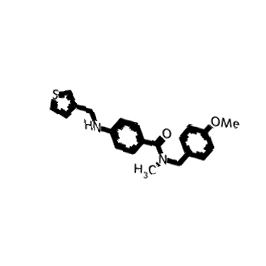 COc1ccc(CN(C)C(=O)c2ccc(NCc3ccsc3)cc2)cc1